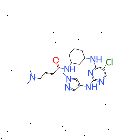 CN(C)CC=CC(=O)NC1CCCC(Nc2nc(Nc3cnn(C)c3)ncc2Cl)C1